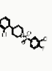 O=S(=O)(c1ccc(F)c(Cl)c1)N1CCC(C2C=CCC=C2Cl)CC1